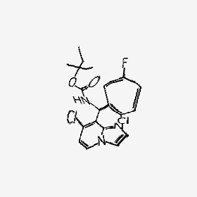 CC(C)(C)OC(=O)NC(c1cc(F)ccc1Cl)c1c(Cl)ccn2ccnc12